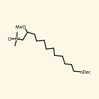 CCCCCCCCCCCCCCCCCCCCC(C[N+](C)(C)[O-])OC